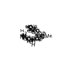 COC(=O)[C@H](Cc1ccc(-n2c(=O)c3ccncc3n(C)c2=O)cc1)NC(=O)c1c(F)cc(NS(=O)(=O)c2ccc(-n3cncn3)cn2)cc1F